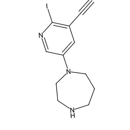 C#Cc1cc(N2CCCNCC2)cnc1I